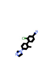 Cc1cc(-n2ccnc2)ccc1-c1ccc(C#N)cc1Cl